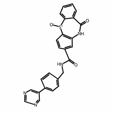 O=C(NCc1ccc(-c2cncnc2)cc1)c1ccc2c(c1)NC(=O)c1ccccc1[S+]2[O-]